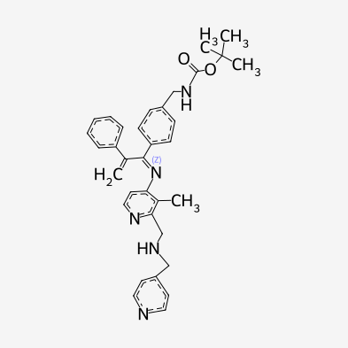 C=C(/C(=N\c1ccnc(CNCc2ccncc2)c1C)c1ccc(CNC(=O)OC(C)(C)C)cc1)c1ccccc1